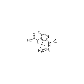 CCC1(CC)CC(C(=O)O)n2c1c(NC1CC1)ncc2=O